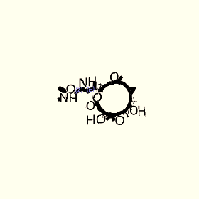 C=C(NC)O/C=C(N)/C=C(\C)[C@@H]1CC2OC2(C)CC2CC2[C@H](C)[C@H](O)[C@@H](C)C(=O)C(C)(C)[C@@H](O)CC(=O)O1